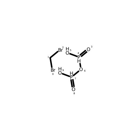 BrCBr.O=[PH](O)O[PH](=O)O